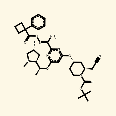 C[C@H](Oc1cc(O[C@H]2CCN(C(=O)OC(C)(C)C)[C@H](CC#N)C2)nc(C(N)=NOC(=O)C2(c3ccccc3)CCC2)n1)[C@@H]1C[C@@H](F)CN1C